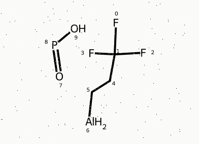 FC(F)(F)C[CH2][AlH2].O=PO